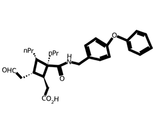 CCC[C@H]1[C@@H](CC=O)[C@H](CC(=O)O)[C@]1(CCC)C(=O)NCc1ccc(Oc2ccccc2)cc1